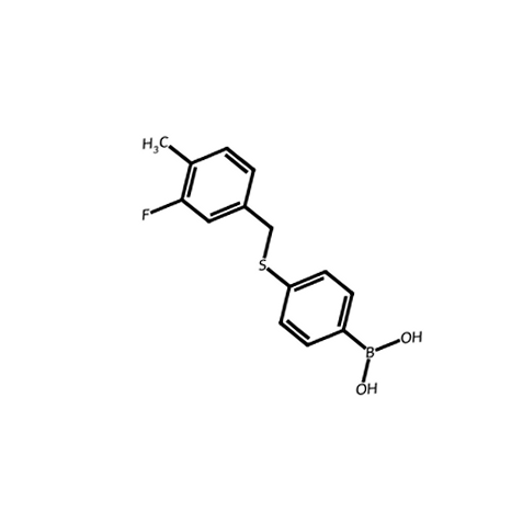 Cc1ccc(CSc2ccc(B(O)O)cc2)cc1F